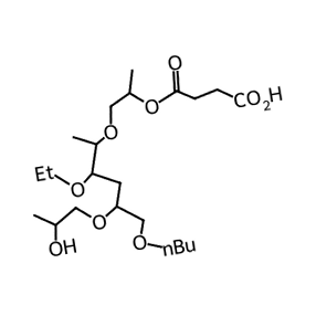 CCCCOCC(CC(OCC)C(C)OCC(C)OC(=O)CCC(=O)O)OCC(C)O